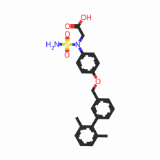 Cc1cccc(C)c1-c1cccc(COc2ccc(N(CC(=O)O)S(N)(=O)=O)cc2)c1